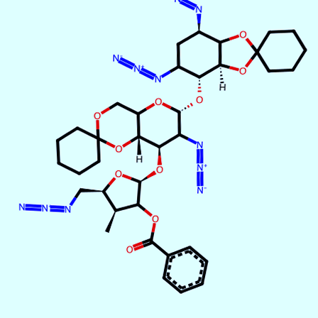 C[C@@H]1C(OC(=O)c2ccccc2)[C@H](O[C@@H]2C(N=[N+]=[N-])[C@@H](O[C@@H]3C(N=[N+]=[N-])C[C@@H](N=[N+]=[N-])C4OC5(CCCCC5)O[C@H]43)OC3COC4(CCCCC4)O[C@H]32)O[C@@H]1CN=[N+]=[N-]